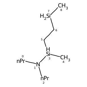 CCCN(CCC)[SiH](C)CC[SiH2]C